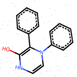 OC1=C(c2ccccc2)N(c2ccccc2)C=CN1